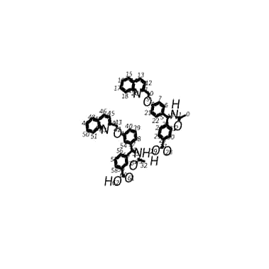 CC(=O)NC(c1ccc(OCc2ccc3ccccc3n2)cc1)c1ccc(C(=O)O)cc1.CC(=O)NC(c1cccc(OCc2ccc3ccccc3n2)c1)c1cccc(C(=O)O)c1